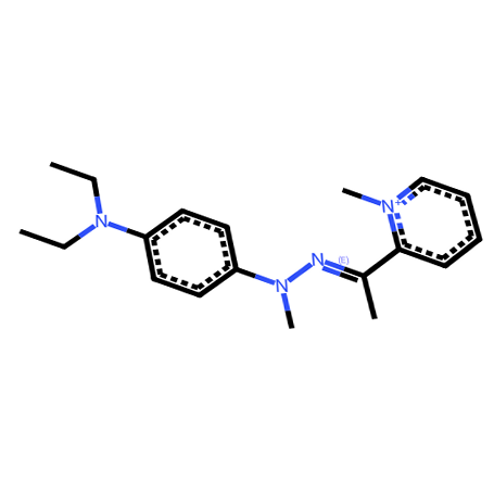 CCN(CC)c1ccc(N(C)/N=C(\C)c2cccc[n+]2C)cc1